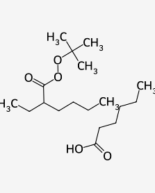 CCCCC(CC)C(=O)OOC(C)(C)C.CCCCCC(=O)O